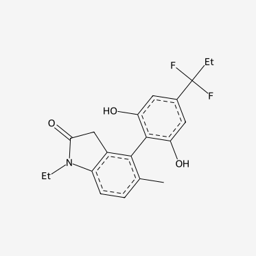 CCN1C(=O)Cc2c1ccc(C)c2-c1c(O)cc(C(F)(F)CC)cc1O